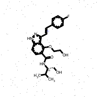 CC(C)[C@@H](CO)NC(=O)c1ccc2[nH]nc(/C=C/c3ccc(F)cc3)c2c1OCCO